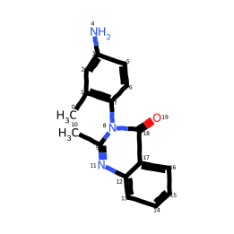 Cc1cc(N)ccc1-n1c(C)nc2ccccc2c1=O